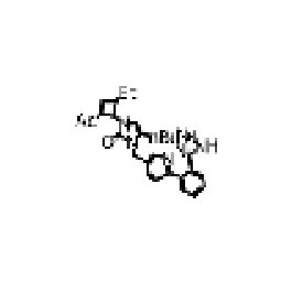 CCCCc1cn(C2C(CC)CC2C(C)=O)c(=O)n1Cc1ccc(-c2ccccc2-c2nnn[nH]2)nc1